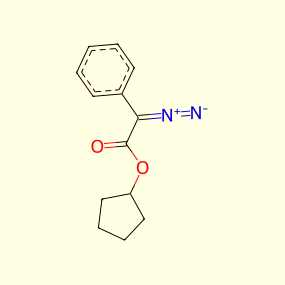 [N-]=[N+]=C(C(=O)OC1CCCC1)c1ccccc1